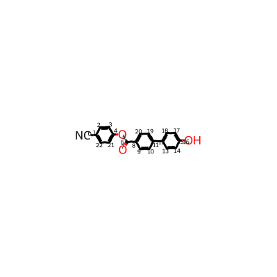 N#Cc1ccc(OC(=O)c2ccc(-c3ccc(O)cc3)cc2)cc1